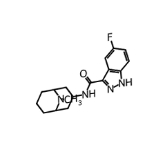 CN1C2CCCC1CC(NC(=O)c1n[nH]c3ccc(F)cc13)C2